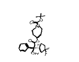 CC(C)(C)OC(=O)N1CCC(OC(=O)C(O)(c2ccccc2)[C@@H]2CCC(F)(F)C2)CC1